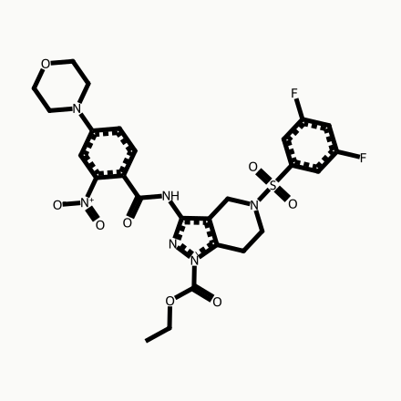 CCOC(=O)n1nc(NC(=O)c2ccc(N3CCOCC3)cc2[N+](=O)[O-])c2c1CCN(S(=O)(=O)c1cc(F)cc(F)c1)C2